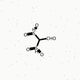 O=CC([SH](=O)=O)[SH](=O)=O